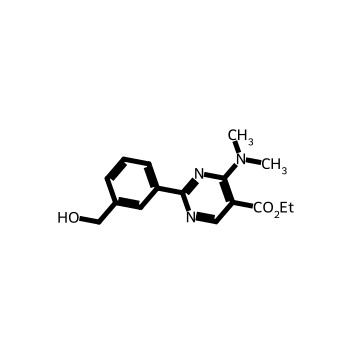 CCOC(=O)c1cnc(-c2cccc(CO)c2)nc1N(C)C